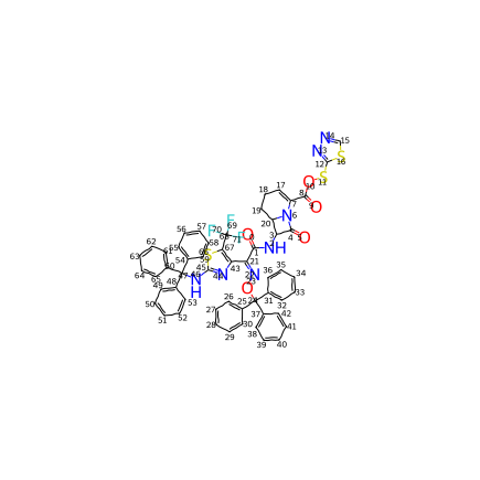 O=C(NC1C(=O)N2C(C(=O)OSc3nncs3)=CCCC12)C(=NOC(c1ccccc1)(c1ccccc1)c1ccccc1)c1nc(NC(c2ccccc2)(c2ccccc2)c2ccccc2)sc1C(F)(F)F